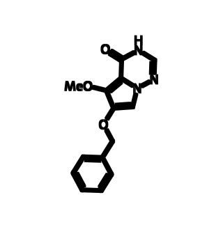 COc1c(OCc2ccccc2)cn2nc[nH]c(=O)c12